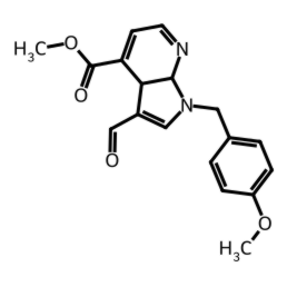 COC(=O)C1=CC=NC2C1C(C=O)=CN2Cc1ccc(OC)cc1